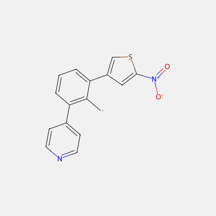 [CH2]c1c(-c2ccncc2)cccc1-c1csc([N+](=O)[O-])c1